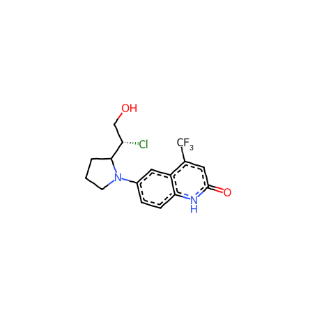 O=c1cc(C(F)(F)F)c2cc(N3CCCC3[C@@H](Cl)CO)ccc2[nH]1